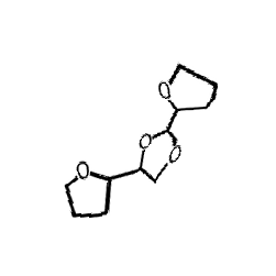 C1COC([C]2OCC(C3CCCO3)O2)C1